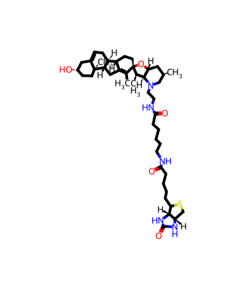 CC1=C2C[C@H]3[C@@H](CC=C4C[C@@H](O)CC[C@@]43C)[C@@H]2CC[C@]12O[C@@H]1C[C@H](C)CN(CCNC(=O)CCCCCNC(=O)CCCCC3SC[C@@H]4NC(=O)N[C@H]34)[C@H]1[C@H]2C